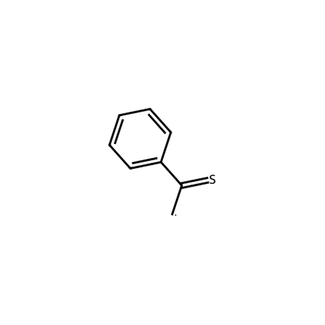 [CH2]C(=S)c1ccccc1